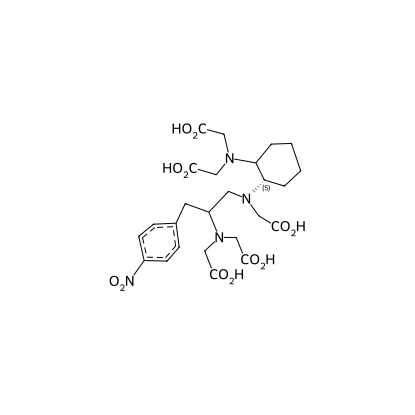 O=C(O)CN(CC(=O)O)C(Cc1ccc([N+](=O)[O-])cc1)CN(CC(=O)O)[C@H]1CCCCC1N(CC(=O)O)CC(=O)O